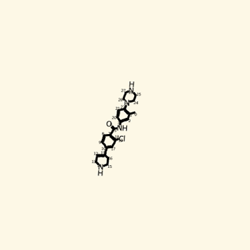 Cc1cc(NC(=O)c2ccc(C3=CCNCC3)cc2Cl)ccc1N1CCNCC1